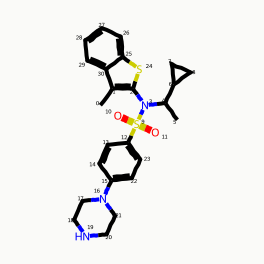 Cc1c(N(C(C)C2CC2)S(=O)(=O)c2ccc(N3CCNCC3)cc2)sc2ccccc12